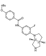 CCCCOc1ccc(C(=O)Nc2ccc(N3CC[C@@H]4CNC[C@@H]43)c(F)c2)cc1